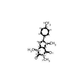 Cn1c(=O)c2c(nc(-c3ccc(C(F)(F)F)cc3)n2C)n(C)c1=O